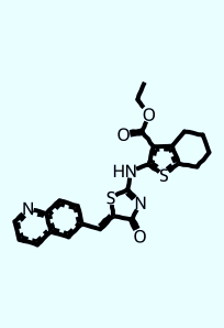 CCOC(=O)c1c(NC2=NC(=O)/C(=C/c3ccc4ncccc4c3)S2)sc2c1CCCC2